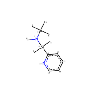 CN([Si](C)(C)C)[Si](C)(C)c1ccccn1